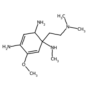 CNC1(CCN(C)C)C=C(OC)C(N)=CC1N